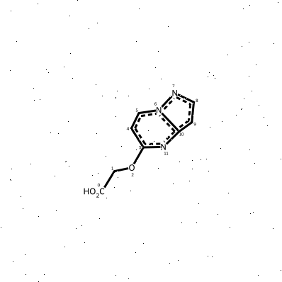 O=C(O)COc1ccn2nccc2n1